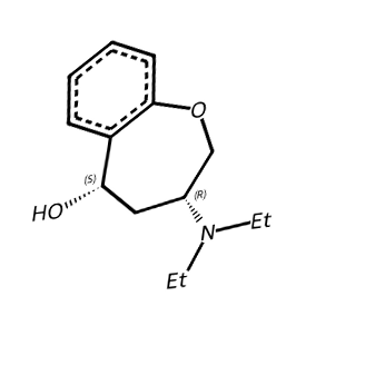 CCN(CC)[C@H]1COc2ccccc2[C@@H](O)C1